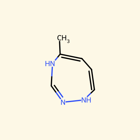 Cc1ccc[nH]nc[nH]1